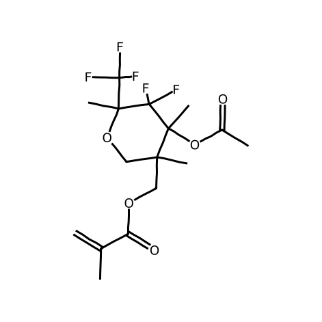 C=C(C)C(=O)OCC1(C)COC(C)(C(F)(F)F)C(F)(F)C1(C)OC(C)=O